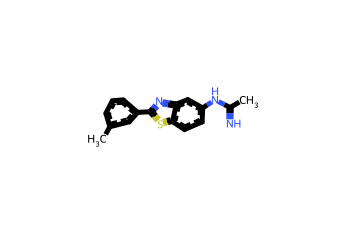 CC(=N)Nc1ccc2sc(-c3cccc(C)c3)nc2c1